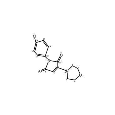 O=C1C=C(N2CCOCC2)C(=O)N1c1ccc(Cl)cc1